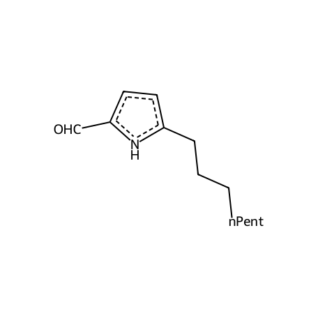 CCCCCCCCc1ccc(C=O)[nH]1